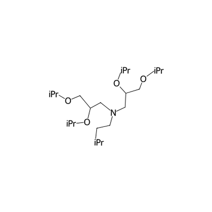 CC(C)CCN(CC(COC(C)C)OC(C)C)CC(COC(C)C)OC(C)C